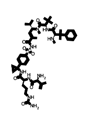 C=C(C)[C@H](N)C(=O)N[C@@H](CCCNC(N)=O)C(=O)NC1(c2ccc(S(=O)(=O)NC(=O)/C(C)=C/[C@H](C(C)C)N(C)C(=O)[C@@H](NC(=O)[C@@H](NC)C(C)(C)c3ccccc3)C(C)(C)C)cc2)CC1